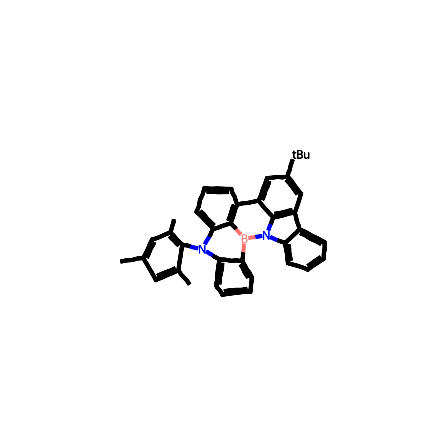 Cc1cc(C)c(N2c3ccccc3B3c4c(cccc42)-c2cc(C(C)(C)C)cc4c5ccccc5n3c24)c(C)c1